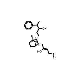 CCOCC=C(O)C[C@@H]1C2CC[C@@H](O2)[C@@H]1CCC(O)C(C)c1ccccc1